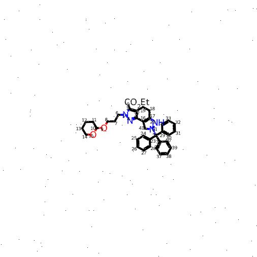 CCOC(=O)c1c2c(nn1CCCOC1CCCCO1)C1=C(CC2)NN(C(c2ccccc2)(c2ccccc2)c2ccccc2)C1